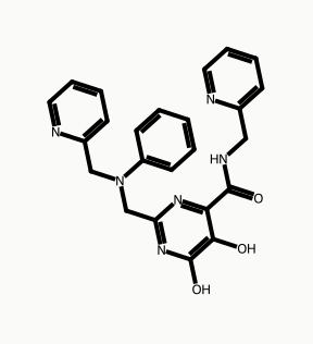 O=C(NCc1ccccn1)c1nc(CN(Cc2ccccn2)c2ccccc2)nc(O)c1O